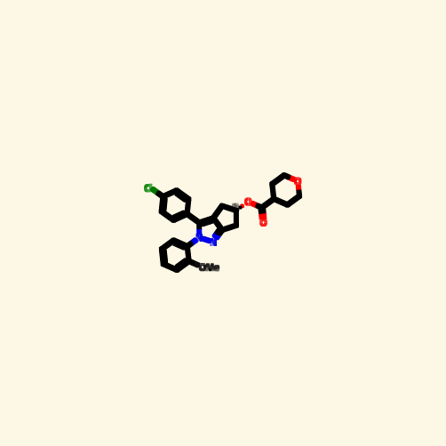 COc1ccccc1-n1nc2c(c1-c1ccc(Cl)cc1)C[C@H](OC(=O)C1CCOCC1)C2